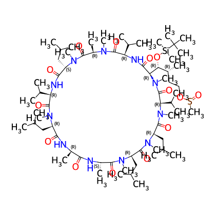 CC(C)C[C@@H]1C(=O)N(C)[C@H](CC(C)C)C(=O)N(C)[C@H](C(C)C)C(=O)N(C)[C@H]([C@H](O[Si](C)(C)C(C)(C)C)[C@H](C)CCOS(C)=O)C(=O)N[C@H](C(C)C)C(=O)N(C)[C@H](C)C(=O)N(C)[C@@H](CC(C)C)C(=O)N[C@H](C(C)C)C(=O)N(C)[C@H](CC(C)C)C(=O)N[C@H](C)C(=O)N[C@@H](C)C(=O)N1C